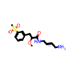 COC(Cc1cccc(S(C)(=O)=O)c1)C(=O)NC/C=C/CN